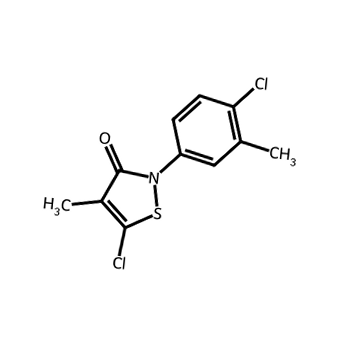 Cc1cc(-n2sc(Cl)c(C)c2=O)ccc1Cl